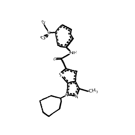 Cc1nn(C2CCCCC2)c2sc(C(=O)Nc3cccc([N+](=O)[O-])c3)cc12